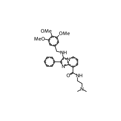 COc1cc(CNc2c(-c3ccccc3)nc3c(C(=O)NCCN(C)C)cccn23)cc(OC)c1OC